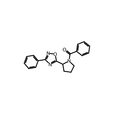 O=C(c1ccccc1)N1CCCC1c1nc(-c2ccccc2)no1